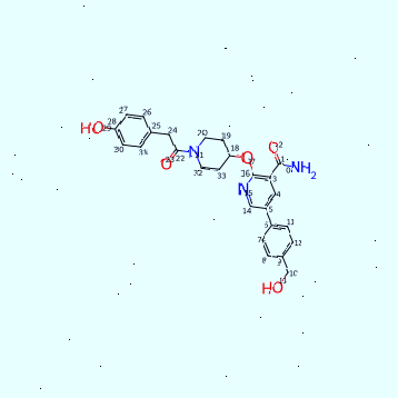 NC(=O)c1cc(-c2ccc(CO)cc2)cnc1OC1CCN(C(=O)Cc2ccc(O)cc2)CC1